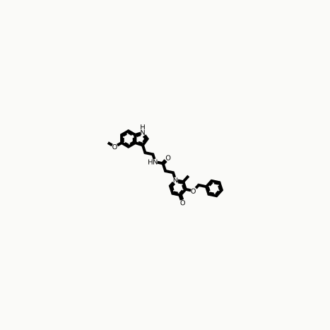 COc1ccc2[nH]cc(CCNC(=O)CCn3ccc(=O)c(OCc4ccccc4)c3C)c2c1